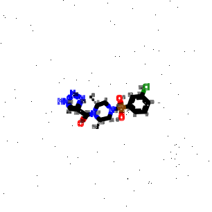 C[C@@H]1CN(S(=O)(=O)c2cccc(Cl)c2)C[C@H](C)N1C(=O)c1c[nH]nn1